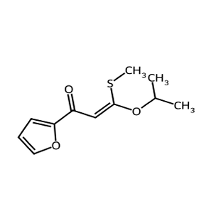 CSC(=CC(=O)c1ccco1)OC(C)C